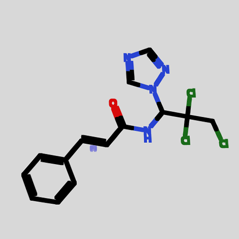 O=C(/C=C/c1ccccc1)NC(n1cncn1)C(Cl)(Cl)CCl